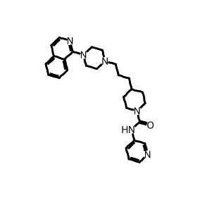 O=C(Nc1cccnc1)N1CCC(CCCN2CCN(c3nccc4ccccc34)CC2)CC1